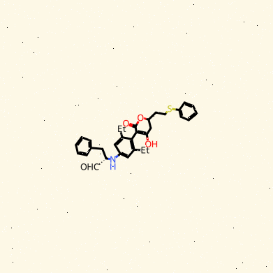 CCc1cc(N[C@H](C=O)Cc2ccccc2)cc(CC)c1C1=C(O)CC(CCSc2ccccc2)OC1=O